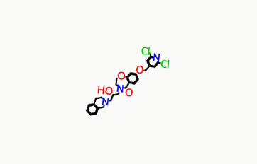 O=C1c2ccc(OCc3cc(Cl)nc(Cl)c3)cc2OCCN1CC(O)CN1CCc2ccccc2C1